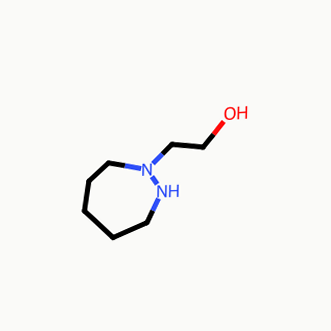 OCCN1CCCCCN1